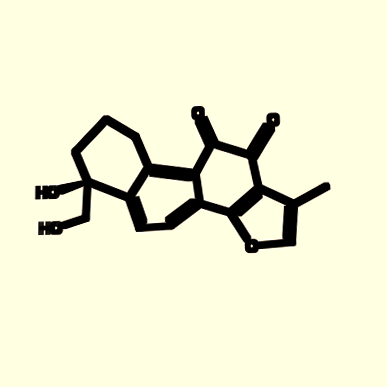 Cc1coc2c1C(=O)C(=O)c1c-2ccc2c1CCC[C@@]2(O)CO